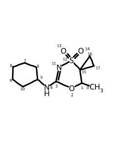 CC1OC(NC2CCCCC2)=NS(=O)(=O)C12CC2